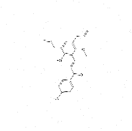 C=CCc1cc(CC=C)c(OC)c(C=CC(=O)c2ccc(N)cc2)c1O